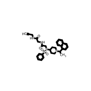 C#CCNC(=O)CNC(=O)CN(C1CCN(C(C)c2cccc3ccccc23)CC1)S(=O)(=O)c1ccccc1